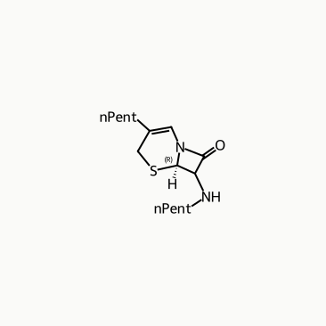 CCCCCNC1C(=O)N2C=C(CCCCC)CS[C@H]12